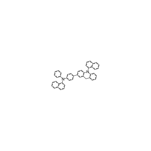 c1ccc(N(c2ccc(-c3ccc4c(c3)Cc3ccccc3N4c3cccc4ccccc34)cc2)c2cccc3ccccc23)cc1